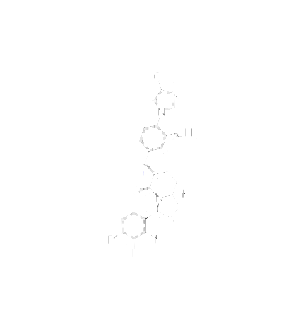 Cc1cn(-c2ccc(/C=C3\CC[C@H]4CC[C@@H](c5ccc(F)c(F)c5F)N4C3=O)cc2C)cn1